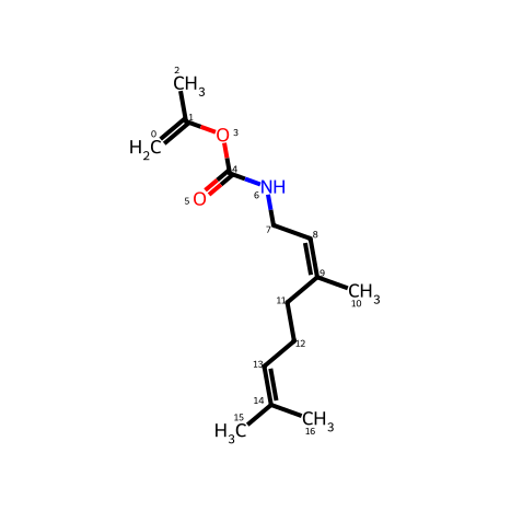 C=C(C)OC(=O)NC/C=C(/C)CCC=C(C)C